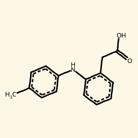 Cc1ccc(Nc2ccccc2CC(=O)O)cc1